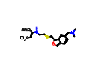 CSC(=C[N+](=O)[O-])NCCSCc1occ2ccc(CN(C)C)cc12